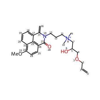 C=CCOCC(O)C[N+](C)(C)CCCn1c(=C)c2cccc3c(OC)ccc(c1=O)c32